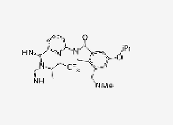 CNCc1cc(OC(C)C)cc2c1CN(c1cccc(C(=N)N(C=N)C(C)CC(F)(F)F)n1)C2=O